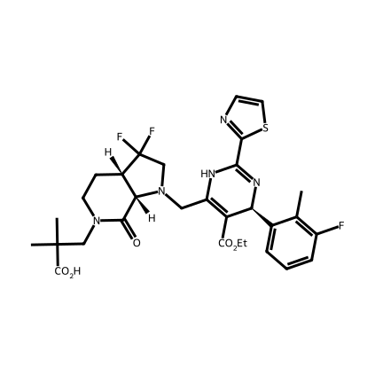 CCOC(=O)C1=C(CN2CC(F)(F)[C@H]3CCN(CC(C)(C)C(=O)O)C(=O)[C@H]32)NC(c2nccs2)=N[C@H]1c1cccc(F)c1C